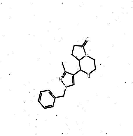 Cc1nn(Cc2ccccc2)cc1C1NCCN2C(=O)CCC12